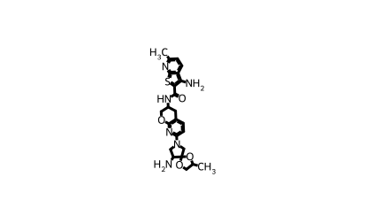 Cc1ccc2c(N)c(C(=O)NC3COc4nc(N5CC(N)C6(C5)OCC(C)O6)ccc4C3)sc2n1